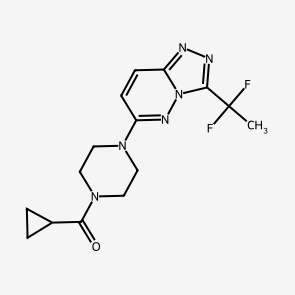 CC(F)(F)c1nnc2ccc(N3CCN(C(=O)C4CC4)CC3)nn12